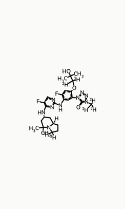 [2H]C1([2H])CC[C@H]2C[C@@H](Nc3nc(Nc4cc(-n5nnn(C([2H])([2H])[2H])c5=O)c(OC([2H])([2H])C(C)(C)O)cc4F)ncc3F)CC(C)(C)N21